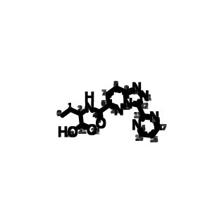 CCC(NC(=O)c1ccc2nnc(-c3ncccn3)n2n1)C(=O)O